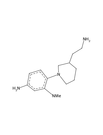 CNc1cc(N)ccc1N1CCCC(CCN)C1